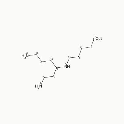 CCCCCCCCCCCCNC(CCN)CCCN